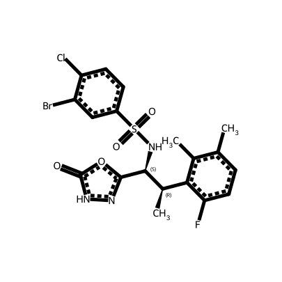 Cc1ccc(F)c([C@@H](C)[C@H](NS(=O)(=O)c2ccc(Cl)c(Br)c2)c2n[nH]c(=O)o2)c1C